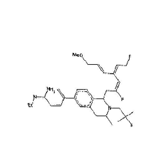 C=C(/C=C\C(N)=N/CC)c1ccc2c(c1)CC(C)N(CC(C)(C)F)C2C\C(F)=C/C(=C\CF)/C=C/COC